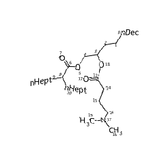 CCCCCCCCCCCCC(COC(=O)C(CCCCCCC)CCCCCCC)OC(=O)CCCN(C)C